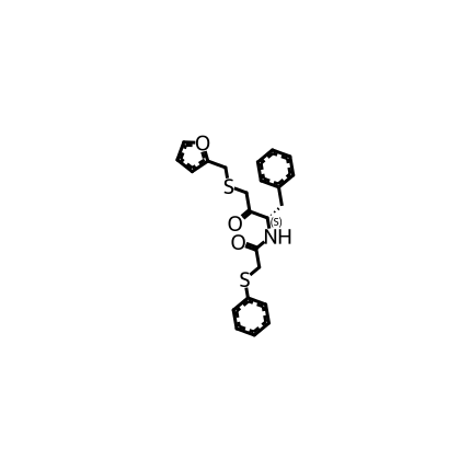 O=C(CSc1ccccc1)N[C@@H](Cc1ccccc1)C(=O)CSCc1ccco1